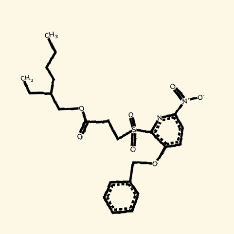 CCCCC(CC)COC(=O)CCS(=O)(=O)c1nc([N+](=O)[O-])ccc1OCc1ccccc1